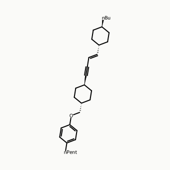 CCCCCc1ccc(OC[C@H]2CC[C@H](C#CC=C[C@H]3CC[C@H](CCCC)CC3)CC2)cc1